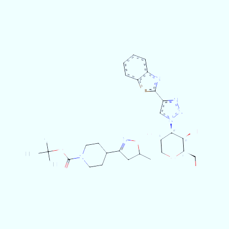 CC(C)(C)OC(=O)N1CCC(C2=NOC(C[C@H]3O[C@H](CO)[C@H](O)[C@H](n4cc(-c5nc6ccccc6s5)nn4)[C@H]3O)C2)CC1